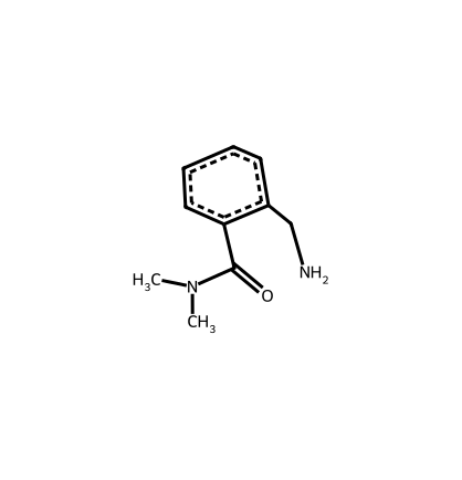 CN(C)C(=O)c1ccccc1CN